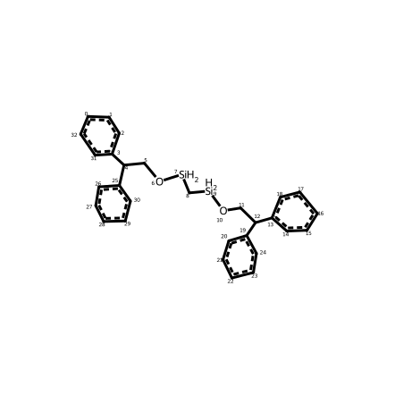 c1ccc(C(CO[SiH2]C[SiH2]OCC(c2ccccc2)c2ccccc2)c2ccccc2)cc1